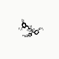 CCc1cc(CC(=O)NS(=O)(=O)N(c2cnn(C)c2)C2CCCN(C)C2)cc(C(F)(F)F)c1.[NaH]